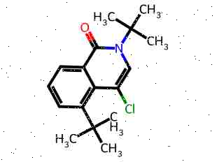 CC(C)(C)c1cccc2c(=O)n(C(C)(C)C)cc(Cl)c12